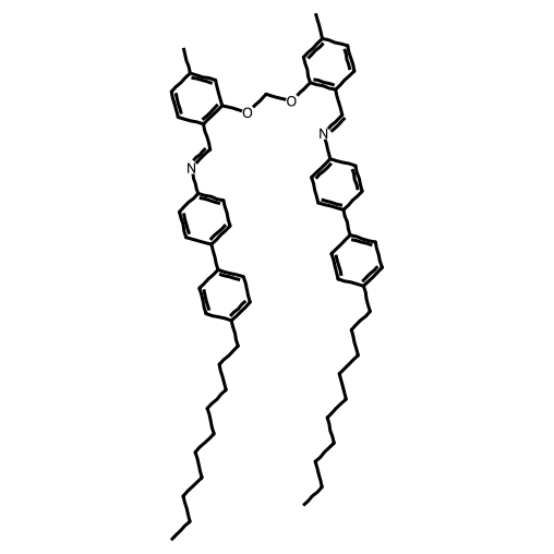 CCCCCCCCCCc1ccc(-c2ccc(N=Cc3ccc(C)cc3OCOc3cc(C)ccc3C=Nc3ccc(-c4ccc(CCCCCCCCCC)cc4)cc3)cc2)cc1